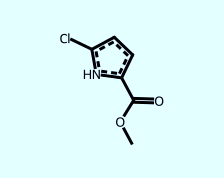 COC(=O)c1ccc(Cl)[nH]1